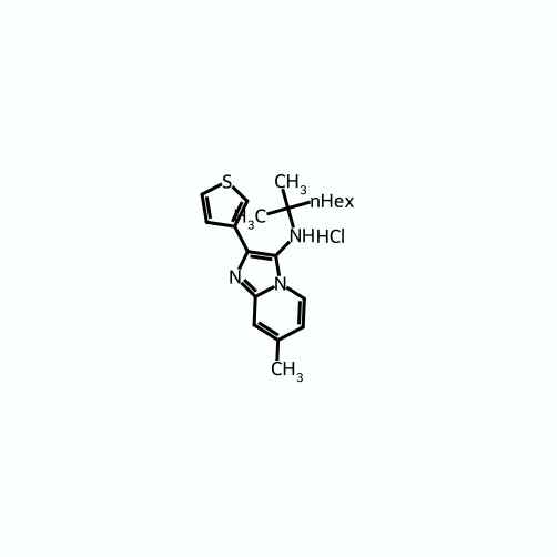 CCCCCCC(C)(C)Nc1c(-c2ccsc2)nc2cc(C)ccn12.Cl